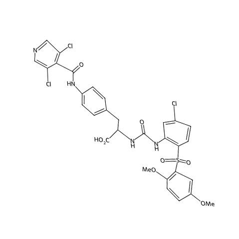 COc1ccc(OC)c(S(=O)(=O)c2ccc(Cl)cc2NC(=O)NC(Cc2ccc(NC(=O)c3c(Cl)cncc3Cl)cc2)C(=O)O)c1